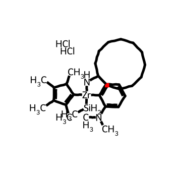 C[SiH2][Zr]([NH]C1CCCCCCCCCCC1)([C]1=C(C)C(C)=C(C)C1C)[c]1ccccc1N(C)C.Cl.Cl